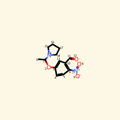 CC(Oc1ccc([N+](=O)[O-])c(C=O)c1)N1CCCC1